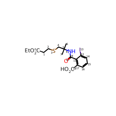 CCOC(=O)CCSCC(C)(C)NC(=O)c1c(I)cccc1C(=O)O